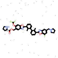 Cc1c(-c2nc3cc(COC(=O)[C@@H]4CCCN4)c(OC(F)F)cc3o2)cccc1-c1cccc(-c2nc3cc(CN4CCCC4)cc(F)c3o2)c1C